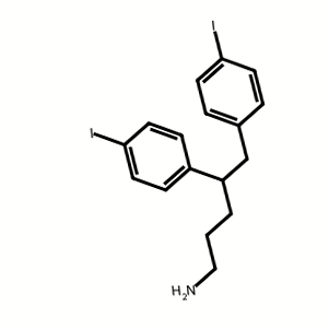 NCCCC(Cc1ccc(I)cc1)c1ccc(I)cc1